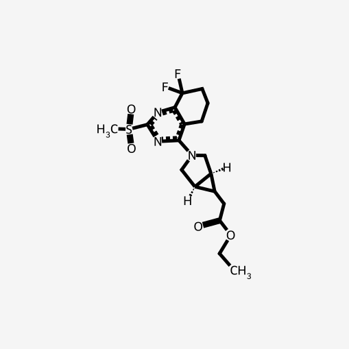 CCOC(=O)CC1[C@H]2CN(c3nc(S(C)(=O)=O)nc4c3CCCC4(F)F)C[C@@H]12